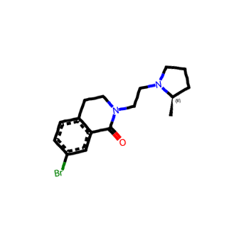 C[C@@H]1CCCN1CCN1CCc2ccc(Br)cc2C1=O